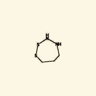 C1CNNSSC1